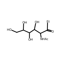 CCC(=O)C(NC(C)=O)C(O)C(O)C(O)CO